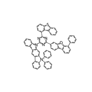 c1ccc(-c2cccc3c2oc2cc(-c4nc(-c5cccc6sc7ccccc7c56)nc(-n5c6ccccc6c6cc7c(cc65)[N+](c5ccccc5)(c5ccccc5)c5ccccc5-7)n4)ccc23)cc1